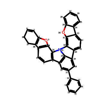 C1=Cc2oc3c(ccc4c5cc(-c6ccccc6)cc6c7ccc8c9ccccc9oc8c7n(c56)c43)c2CC1